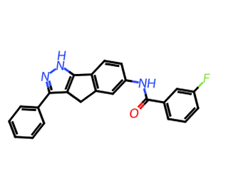 O=C(Nc1ccc2c(c1)Cc1c(-c3ccccc3)n[nH]c1-2)c1cccc(F)c1